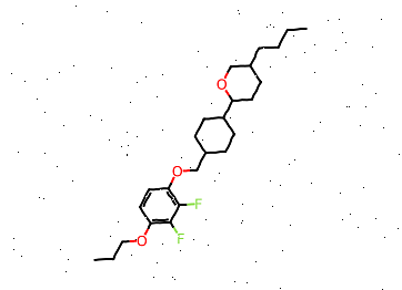 CCCCC1CCC(C2CCC(COc3ccc(OCCC)c(F)c3F)CC2)OC1